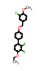 CCOc1ccc(-c2ccc(OCc3ccc(OC)c(F)c3)cc2)c(F)c1F